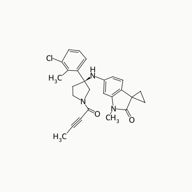 CC#CC(=O)N1CC[C@](Nc2ccc3c(c2)N(C)C(=O)C32CC2)(c2cccc(Cl)c2C)C1